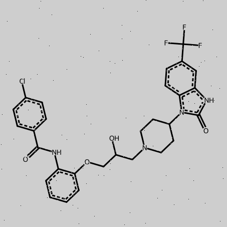 O=C(Nc1ccccc1OCC(O)CN1CCC(n2c(=O)[nH]c3cc(C(F)(F)F)ccc32)CC1)c1ccc(Cl)cc1